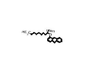 CCCCCCCCCC(CCCCCCCC(=O)O)Oc1cccc2cc3ccccc3cc12